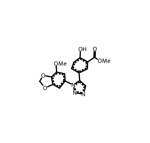 COC(=O)c1cc(-c2cnnn2-c2cc(OC)c3c(c2)OCO3)ccc1O